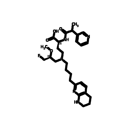 CO[C@H](CF)CN(CCCCc1ccc2c(n1)NCCC2)CC[C@H](NC(=O)C(C)c1cccnc1)C(=O)O